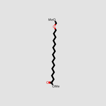 COCOCCCCCCCCCCCCCCCC(=O)OC